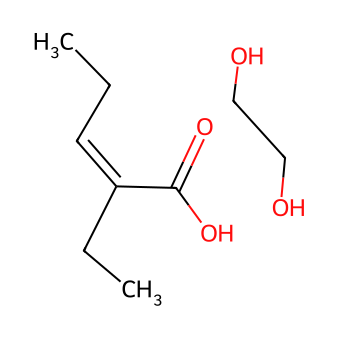 CCC=C(CC)C(=O)O.OCCO